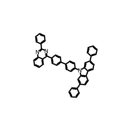 c1ccc(-c2ccc3c4ccc(-c5ccccc5)cc4n(-c4ccc(-c5ccc(-c6nc(-c7ccccc7)nc7ccccc67)cc5)cc4)c3c2)cc1